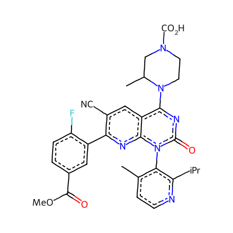 COC(=O)c1ccc(F)c(-c2nc3c(cc2C#N)c(N2CCN(C(=O)O)CC2C)nc(=O)n3-c2c(C)ccnc2C(C)C)c1